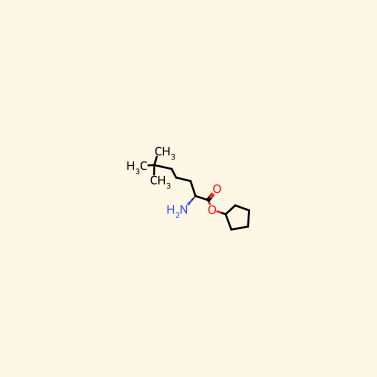 CC(C)(C)CCC[C@H](N)C(=O)OC1CCCC1